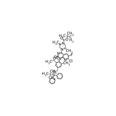 Cc1cc(CO[Si](c2ccccc2)(c2ccccc2)C(C)(C)C)cc(C(C)C)c1-n1c(=O)nc(N2C[C@@H](C)N(C(=O)OC(C)(C)C)C[C@@H]2C)c2cc(F)c(Cl)nc21